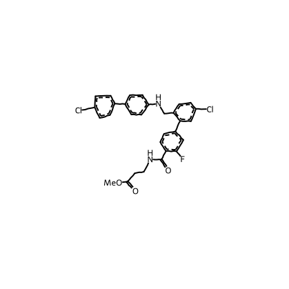 COC(=O)CCNC(=O)c1ccc(-c2cc(Cl)ccc2CNc2ccc(-c3ccc(Cl)cc3)cc2)cc1F